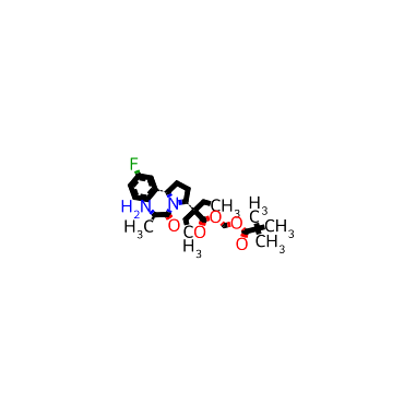 CCC(CC)(C(=O)OCOC(=O)C(C)(C)C)[C@H]1CC[C@@H](c2cccc(F)c2)N1C(=O)[C@@H](C)N